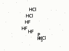 Cl.Cl.Cl.F.F.F.P